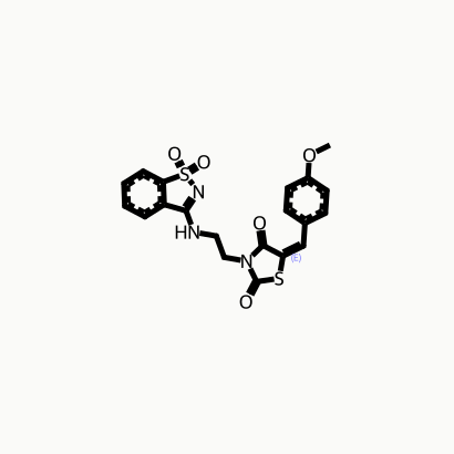 COc1ccc(/C=C2/SC(=O)N(CCNC3=NS(=O)(=O)c4ccccc43)C2=O)cc1